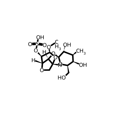 CO[C@H]1O[C@@H]2CO[C@@H]([C@H]2O[C@@H]2O[C@H](CO)[C@H](O)[C@H](C)[C@H]2O)[C@H]1OS(=O)(=O)O